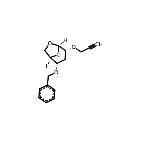 C#CCO[C@@H]1C[C@H](OCc2ccccc2)[C@H]2CO[C@@H]1O2